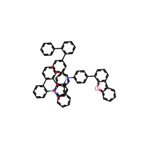 c1ccc(-c2ccccc2-c2cccc(N(c3ccc(-c4cccc5c4oc4ccccc45)cc3)c3ccccc3-c3ccccc3-c3ccccc3-n3c4ccccc4c4ccccc43)c2)cc1